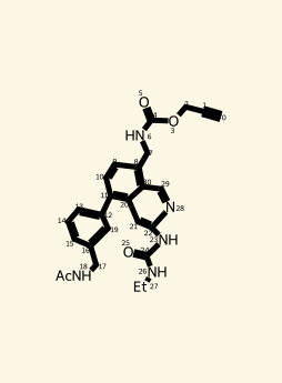 C#CCOC(=O)NCc1ccc(-c2cccc(CNC(C)=O)c2)c2cc(NC(=O)NCC)ncc12